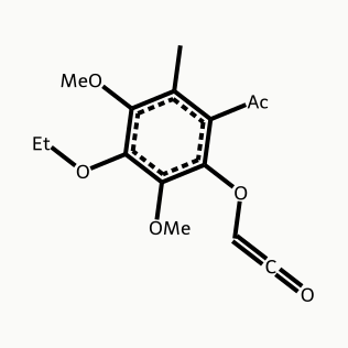 CCOc1c(OC)c(C)c(C(C)=O)c(OC=C=O)c1OC